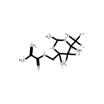 C=C(C)C(=O)OCC1(C)OC(C)OC(O)(C(F)(F)F)C1(F)F